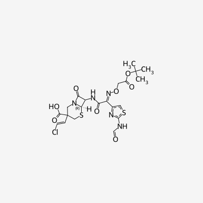 CC(C)(C)OC(=O)CON=C(C(=O)NC1C(=O)N2CC(C=CCl)(C(=O)O)CS[C@H]12)c1csc(NC=O)n1